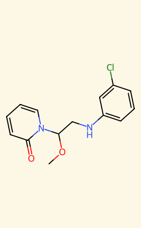 COC(CNc1cccc(Cl)c1)n1ccccc1=O